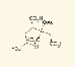 CCCCC(CC)CC(C(=O)O)C(CC(=O)O)(OC(C)=O)C(=O)O